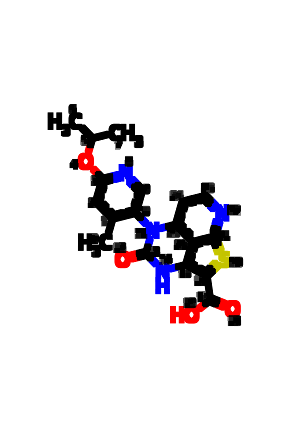 Cc1cc(OC(C)C)ncc1N1C(=O)Nc2c(C(=O)O)sc3nccc1c23